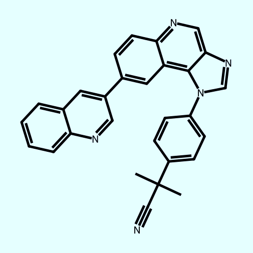 CC(C)(C#N)c1ccc(-n2cnc3cnc4ccc(-c5cnc6ccccc6c5)cc4c32)cc1